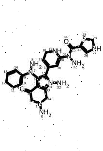 NN1CC(=O)c2c(N(N)C3=CCCC=C3)c(C3=CCNC(N(N)C(=O)C4=CNCS4)=C3)n(N)c2C1